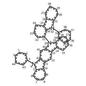 c1ccc(-n2c3ccccc3c3cc4c5ccccc5n(-c5cccc6c7ccccc7n(-c7ccccc7)c56)c4cc32)cc1